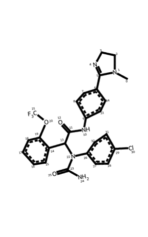 CN1CCN=C1c1ccc(NC(=O)C(c2ccccc2OC(F)(F)F)N(C(N)=O)c2ccc(Cl)cc2)cc1